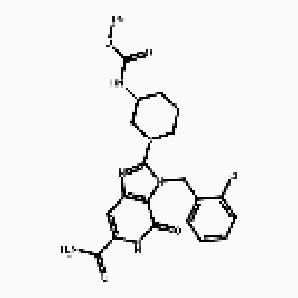 CC(C)(C)OC(=O)N[C@@H]1CCCN(c2nc3cc(C(N)=O)[nH]c(=O)c3n2Cc2ccccc2Cl)C1